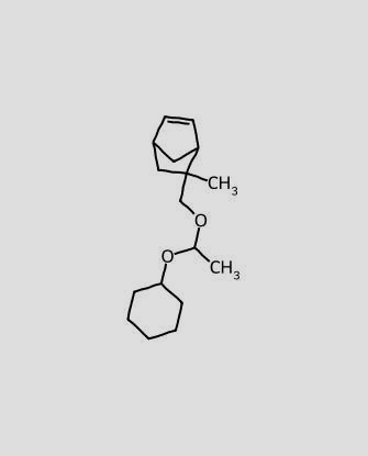 CC(OCC1(C)CC2C=CC1C2)OC1CCCCC1